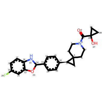 O=C(N1CCC2(CC1)C[C@H]2c1ccc(C2Nc3ccc(F)cc3O2)cc1)C1(O)CC1